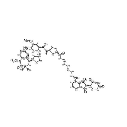 COc1cc(C(=O)NC2CCN(C(=O)COCCOCCNc3cccc4c3C(=O)N(C3CCC(=O)NC3=O)C4=O)C2)c(F)cc1Nc1ncc2c(n1)N(C1CCCC1)CC(F)(F)C(=O)N2C